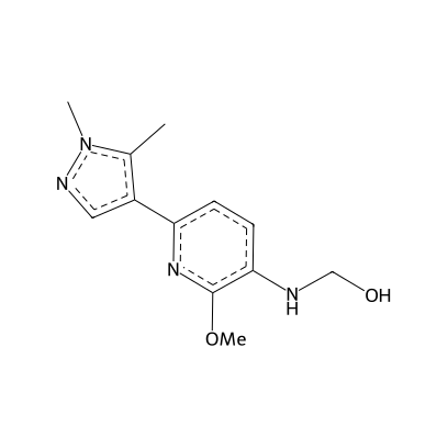 COc1nc(-c2cnn(C)c2C)ccc1NCO